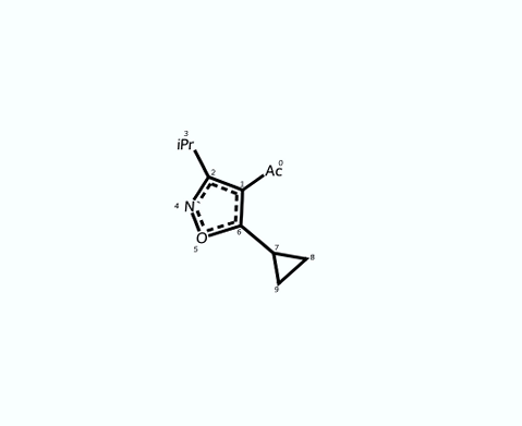 CC(=O)c1c(C(C)C)noc1C1CC1